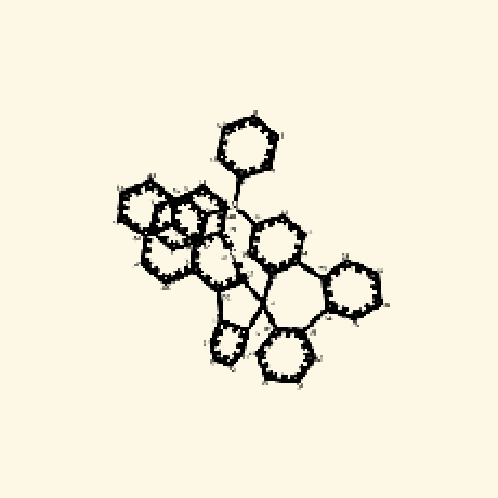 c1ccc(N(c2ccccc2)c2ccc3c(c2)C2(c4ccccc4-c4ccccc4-3)c3ccccc3-c3c2cc2ccc4cccc5ccc3c2c45)cc1